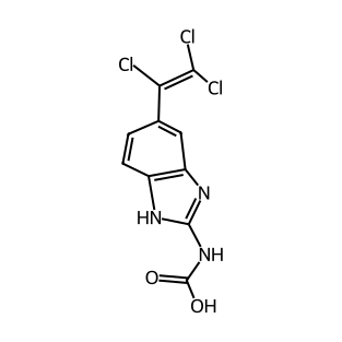 O=C(O)Nc1nc2cc(C(Cl)=C(Cl)Cl)ccc2[nH]1